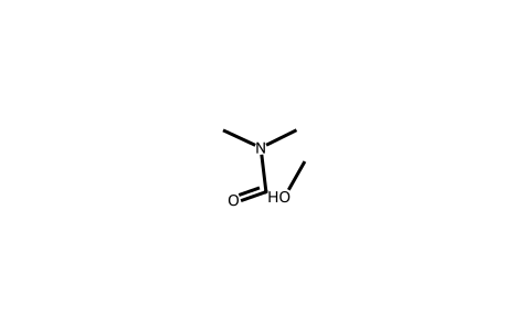 CN(C)C=O.CO